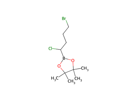 CC1(C)OB(C(Cl)CCCBr)OC1(C)C